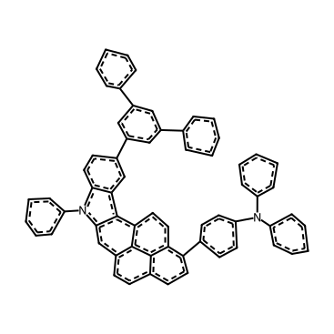 c1ccc(-c2cc(-c3ccccc3)cc(-c3ccc4c(c3)c3c5ccc6c(-c7ccc(N(c8ccccc8)c8ccccc8)cc7)ccc7ccc(cc3n4-c3ccccc3)c5c76)c2)cc1